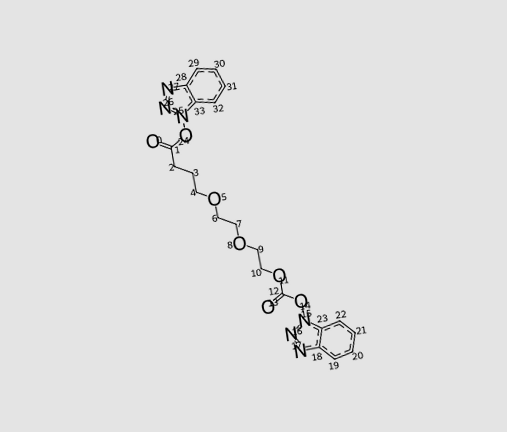 O=C(CCCOCCOCCOC(=O)On1nnc2ccccc21)On1nnc2ccccc21